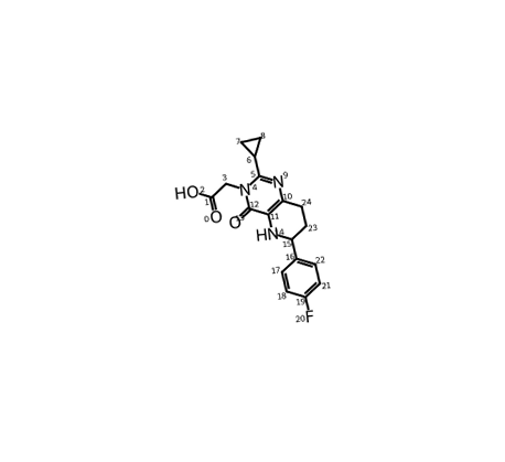 O=C(O)Cn1c(C2CC2)nc2c(c1=O)NC(c1ccc(F)cc1)CC2